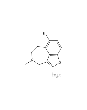 CCOC(=O)c1oc2ccc(Br)c3c2c1CN(C)CC3